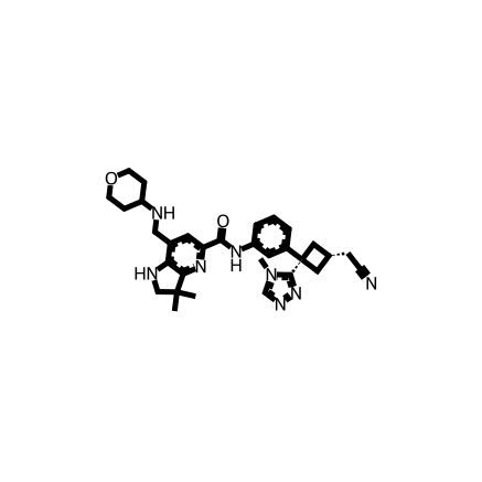 Cn1cnnc1[C@]1(c2cccc(NC(=O)c3cc(CNC4CCOCC4)c4c(n3)C(C)(C)CN4)c2)C[C@H](CC#N)C1